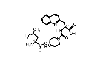 CC(C)C[C@H](N)B(O)O.O=C(O)[C@H](Cc1ccc2ccccc2n1)NC(=O)N1CCOCC1